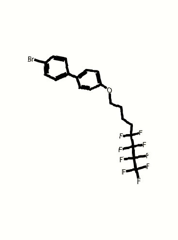 FC(F)(F)C(F)(F)C(F)(F)C(F)(F)CCCCOc1ccc(-c2ccc(Br)cc2)cc1